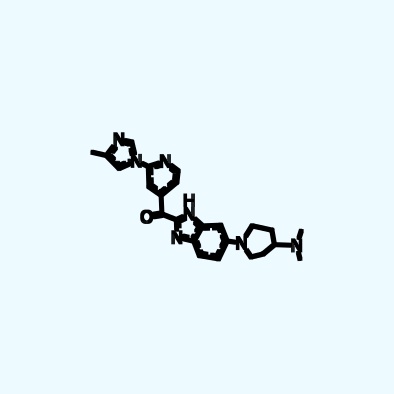 Cc1cn(-c2cc(C(=O)c3nc4ccc(N5CCC(N(C)C)CC5)cc4[nH]3)ccn2)cn1